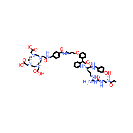 CCC(=O)NCCNC(=O)/N=C(/N)NCCC[C@@H](NC(=O)C(c1ccccc1)c1cccc(OCCCCNC(=O)c2ccc(CNC(=O)CN3CCN(CC(=O)O)CCN(CC(=O)O)CCN(CC(=O)O)CC3)cc2)c1)C(=O)NCc1ccc(O)cc1